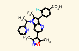 Cc1noc(C)c1-c1cnc2c(-c3ccc(C(=O)O)cc3F)c(C(F)(F)F)n(C(C)c3ccccn3)c2c1